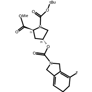 COC(=O)[C@@H]1C[C@@H](OC(=O)N2CC3=CCCC(F)=C3C2)CN1C(=O)OC(C)(C)C